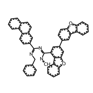 C=N/C(=N\C(=N/Cc1ccccc1)c1ccc2c(ccc3ccccc32)c1)c1cc(-c2ccc3oc4ccccc4c3c2)cc2oc3ccccc3c12